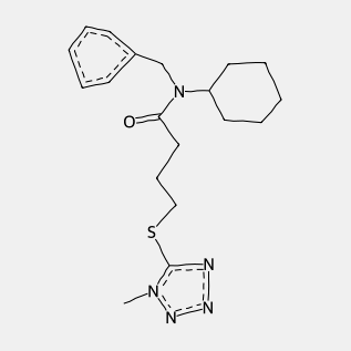 Cn1nnnc1SCCCC(=O)N(Cc1ccccc1)C1CCCCC1